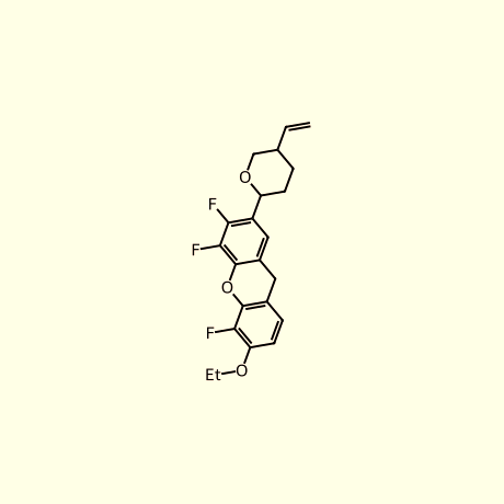 C=CC1CCC(c2cc3c(c(F)c2F)Oc2c(ccc(OCC)c2F)C3)OC1